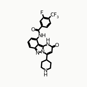 O=C(Nc1cccc2nn3c(C4CCNCC4)cc(=O)[nH]c3c12)c1ccc(C(F)(F)F)c(F)c1